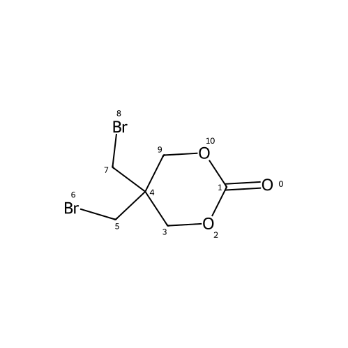 O=C1OCC(CBr)(CBr)CO1